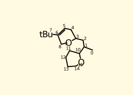 CC(CC1CC=C(C(C)(C)C)CO1)C1CCCCO1